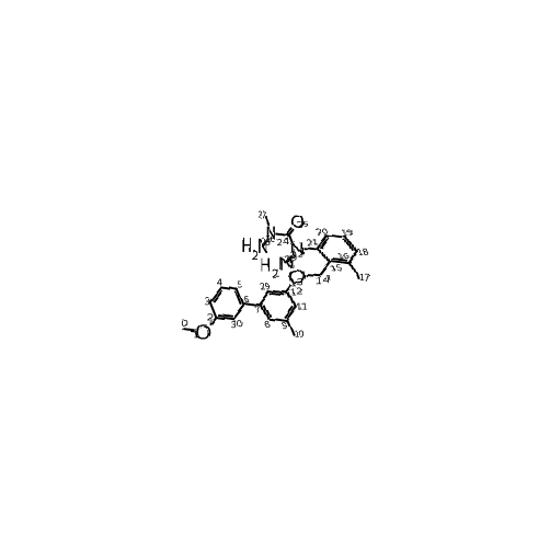 COc1cccc(-c2cc(C)cc(OCc3c(C)cccc3N(N)C(=O)N(C)N)c2)c1